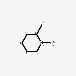 CCCN1CCCCC1I